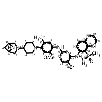 COc1cc(N2CCC(N3CC4CC(C3)N4)CC2)c(C)cc1Nc1ncc(Br)c(Nc2ccc3nccnc3c2P(C)(C)=O)n1